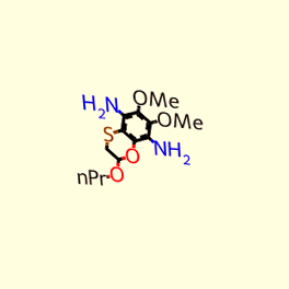 CCCOC1CSc2c(N)c(OC)c(OC)c(N)c2O1